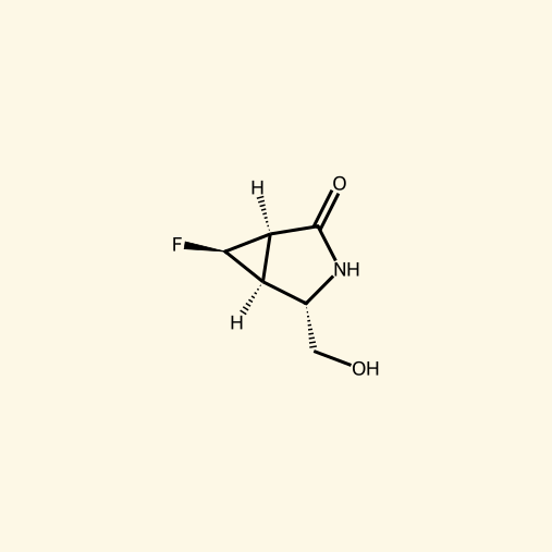 O=C1N[C@H](CO)[C@H]2[C@@H](F)[C@@H]12